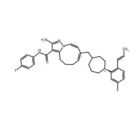 C/C=C/c1ccc(F)cc1[C@H]1CCCC(CC2=C/CCCc3c(C(=O)Nc4ccc(F)cc4)c(N)nn3/C=C\2)CC1